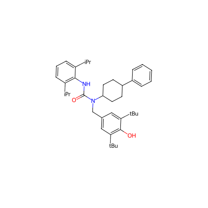 CC(C)c1cccc(C(C)C)c1NC(=O)N(Cc1cc(C(C)(C)C)c(O)c(C(C)(C)C)c1)C1CCC(c2ccccc2)CC1